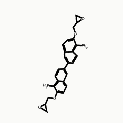 Pc1c(OCC2CO2)ccc2cc(-c3ccc4c(P)c(OCC5CO5)ccc4c3)ccc12